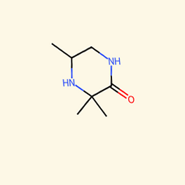 CC1CNC(=O)C(C)(C)N1